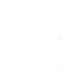 CC1(CC2(CC3(C)CC=CO3)CNCCNCCN2CCO)CC=CO1